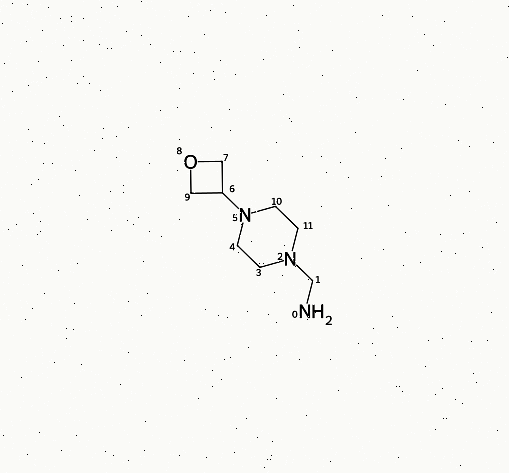 NCN1CCN(C2COC2)CC1